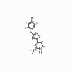 CC1CN(c2nc(Cc3ccc(F)cc3)ns2)CCN1